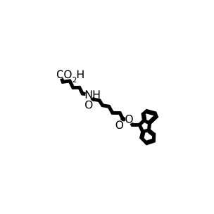 O=C(O)CCCCCNC(=O)CCCCCC(=O)OCC1c2ccccc2-c2ccccc21